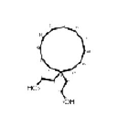 OCCC1(CCO)CCCCCCCCCCC1